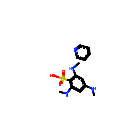 CNc1cc(NC)c(S(=O)(=O)O)c(NC)c1.c1ccncc1